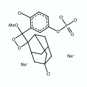 COC1(c2cc(OP(=O)([O-])[O-])ccc2Cl)OOC12C1CC3CC2CC(Cl)(C3)C1.[Na+].[Na+]